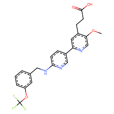 COc1cnc(-c2ccc(NCc3cccc(OC(F)(F)F)c3)nc2)cc1CCC(=O)O